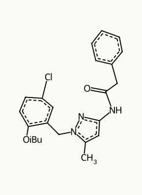 Cc1cc(NC(=O)Cc2ccccc2)nn1Cc1cc(Cl)ccc1OCC(C)C